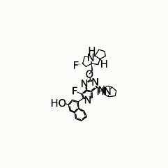 Oc1cc(-c2ncc3c(N4CC5CCC(C4)N5)nc(OC[C@@]45C[C@H](F)CN4[C@@H]4CCC[C@@H]4C5)nc3c2F)c2ccccc2c1